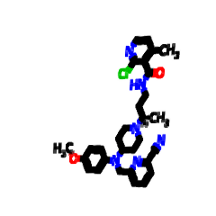 COc1ccc(N(Cc2cccc(C#N)n2)C2CCN([C@H](C)CCNC(=O)c3c(C)ccnc3Cl)CC2)cc1